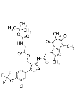 Cc1oc2c(c1CC(=O)N=c1scc(-c3ccc(OC(F)(F)F)c(Cl)c3)n1COC(=O)CNC(=O)OC(C)(C)C)c(=O)n(C)c(=O)n2C